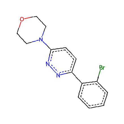 Brc1ccccc1-c1ccc(N2CCOCC2)nn1